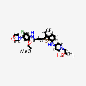 COCCOc1cc(N2CCOCC2)c(F)cc1NCC#Cc1sc2c(NC3CCN(CC(C)O)CC3)cccc2c1CC(F)(F)F